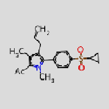 C=CCc1c(C)c(C(C)=O)n(C)c1-c1ccc(S(=O)(=O)C2CC2)cc1